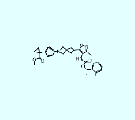 COC(=O)C1(c2ccc(N3CC4(CC(c5onc(C)c5NC(=O)O[C@H](C)c5ccccc5C)C4)C3)cc2)CC1